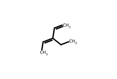 C=C/C(=C/C)CC